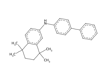 CC1(C)CCC(C)(C)c2cc(Nc3ccc(-c4ccccc4)cc3)ccc21